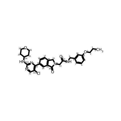 CCCOc1cccc(CNC(=O)CN2Cc3ccc(-c4nc(NC5CCOCC5)ncc4Cl)cc3C2=O)c1